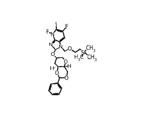 C[Si](C)(C)CCOCN1C2=CC(F)=C(I)N(F)C2=NC1O[C@H]1CO[C@@H]2COC(c3ccccc3)O[C@H]2C1